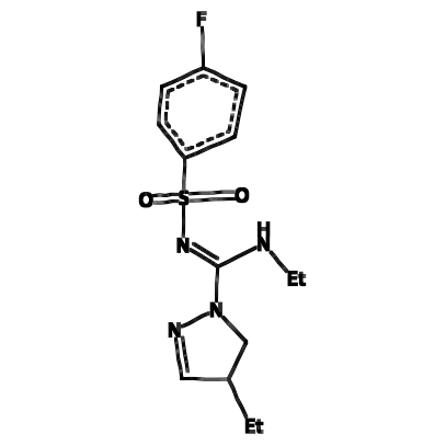 CCN/C(=N\S(=O)(=O)c1ccc(F)cc1)N1CC(CC)C=N1